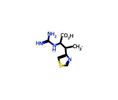 [CH2]C(c1cscn1)C(NC(=N)N)C(=O)O